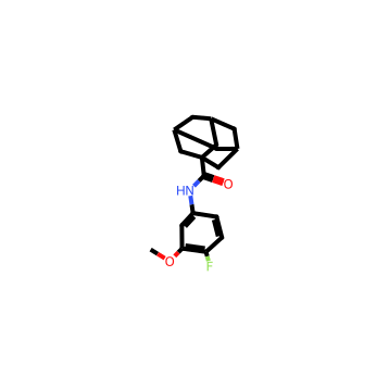 COc1cc(NC(=O)C23CC4CC(CC(C4)C2)C3)ccc1F